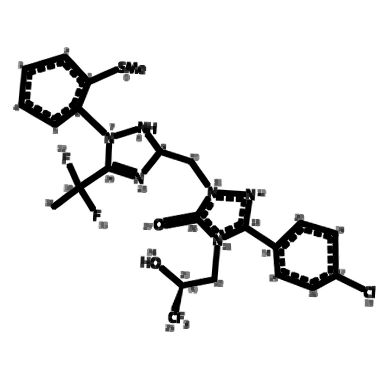 CSc1ccccc1N1NC(Cn2nc(-c3ccc(Cl)cc3)n(C[C@H](O)C(F)(F)F)c2=O)N=C1C(C)(F)F